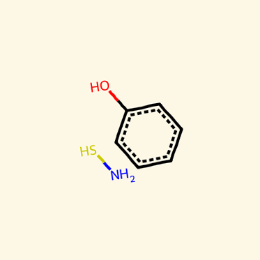 NS.Oc1ccccc1